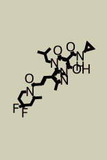 Cc1nn2c(O)c(C(=O)NC3CC3)c(=O)n(CC(C)C)c2c1C=CC(=O)N1CCC(F)(F)CC1C